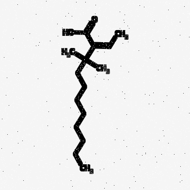 CC=C(C(=O)O)C(C)(C)CCCCCCCC